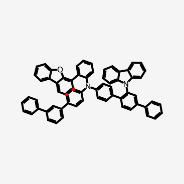 c1ccc(-c2cccc(-c3ccc(N(c4ccc(-c5ccc(-c6ccccc6)cc5-n5c6ccccc6c6ccccc65)cc4)c4ccccc4-c4cccc5c4oc4ccccc45)cc3)c2)cc1